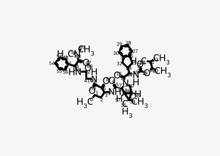 CCCC(NC(=O)[C@@H]1[C@@H]2[C@H](CN1C(=O)[C@@H](NC(=O)O[C@@H](C)C(C)C)C1Cc3ccccc3C1)C2(C)C)C(=O)C(=O)NCC(=O)N[C@H](C(=O)N(C)C)c1ccccc1